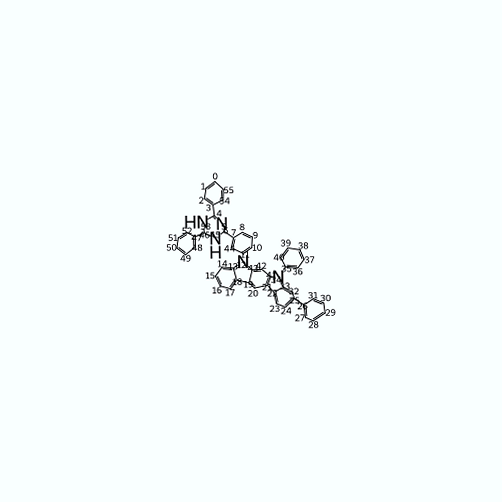 c1ccc(C2=NC(c3cccc(-n4c5ccccc5c5cc6c7ccc(-c8ccccc8)cc7n(-c7ccccc7)c6cc54)c3)NC(c3ccccc3)N2)cc1